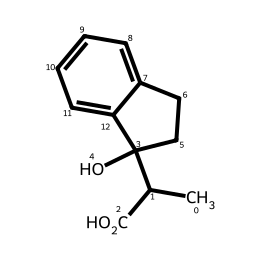 CC(C(=O)O)C1(O)CCc2ccccc21